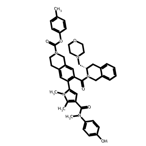 Cc1ccc(OC(=O)N2CCc3cc(-c4cc(C(=O)N(C)c5ccc(O)cc5)c(C)n4C)c(C(=O)N4Cc5ccccc5C[C@H]4CN4CCOCC4)cc3C2)cc1